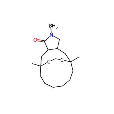 BN1CC2CC3(C)CCCCCCC(C)(CCC3)CC2C1=O